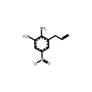 C=CCc1cc([N+](=O)[O-])cc(N)c1N